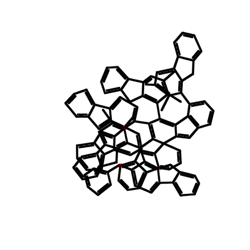 Cc1cc2c(c(C3=C4C(=Cc5cccc(-c6c(C)c(C)cc7c6Cc6ccccc6-7)c54)C4(C=CC=C5C4=Cc4ccccc45)C(N(c4c(Cc5ccccc5)ccc5c4Cc4ccccc4-5)c4c(C)c(C)cc5c4Cc4ccccc4-5)=C3C3=CC=C4C(=Cc5ccccc54)C34C=CC=C3C4=Cc4ccccc43)c1C)Cc1ccccc1-2